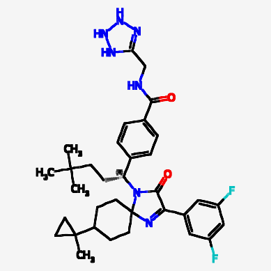 CC(C)(C)CC[C@H](c1ccc(C(=O)NCC2=NNNN2)cc1)N1C(=O)C(c2cc(F)cc(F)c2)=NC12CCC(C1(C)CC1)CC2